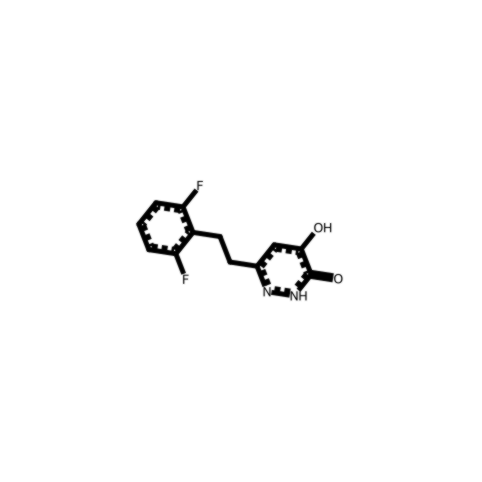 O=c1[nH]nc(CCc2c(F)cccc2F)cc1O